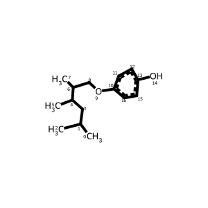 CC(C)CC(C)C(C)COc1ccc(O)cc1